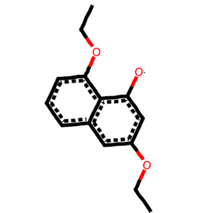 CCOc1cc([O])c2c(OCC)cccc2c1